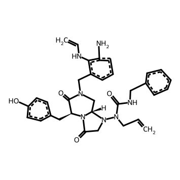 C=CCN(C(=O)NCc1ccccc1)N1CC(=O)N2[C@@H](Cc3ccc(O)cc3)C(=O)N(Cc3cccc(N)c3NC=C)C[C@@H]21